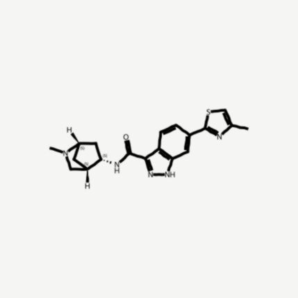 Cc1csc(-c2ccc3c(C(=O)N[C@H]4C[C@@H]5C[C@H]4CN5C)n[nH]c3c2)n1